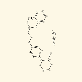 CC#N.CCN(CCCc1ccc(C2CCCCC2F)cc1)Cc1ccccc1